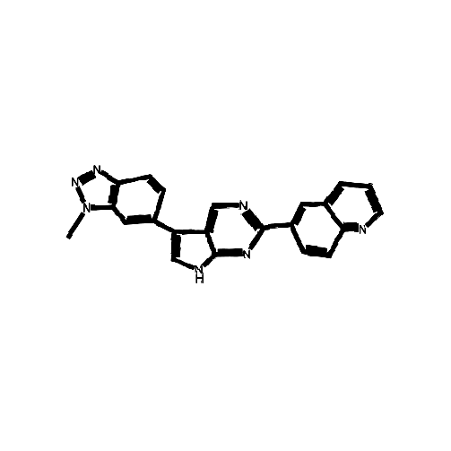 Cn1nnc2ccc(-c3c[nH]c4nc(-c5ccc6ncccc6c5)ncc34)cc21